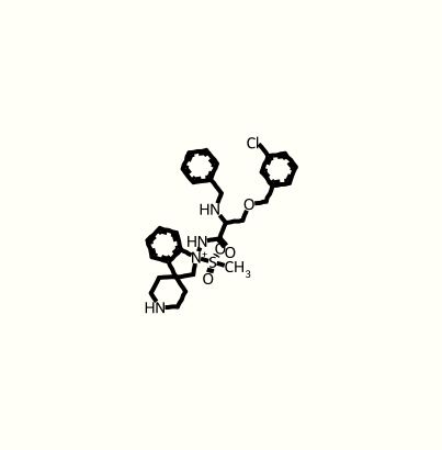 CS(=O)(=O)[N+]1(NC(=O)C(COCc2cccc(Cl)c2)NCc2ccccc2)CC2(CCNCC2)c2ccccc21